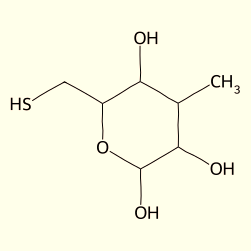 CC1C(O)C(O)OC(CS)C1O